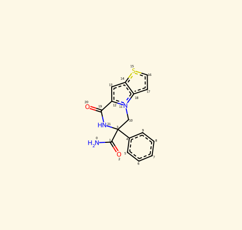 NC(=O)C1(c2ccccc2)Cn2c(cc3sccc32)C(=O)N1